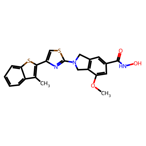 COc1cc(C(=O)NO)cc2c1CN(c1nc(-c3sc4ccccc4c3C)cs1)C2